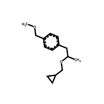 COCc1ccc(CC(C)OCC2CC2)cc1